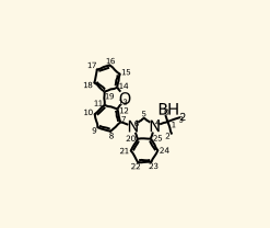 BC(C)(C)N1CN(c2cccc3c2oc2ccccc23)c2ccccc21